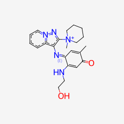 CC1=C/C(=N\c2c([N+]3(C)CCCCC3)nn3ccccc23)C(NCCO)=CC1=O